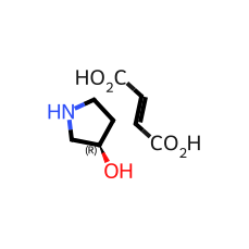 O=C(O)C=CC(=O)O.O[C@@H]1CCNC1